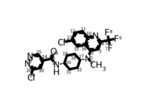 CN(c1cc(C(F)(F)F)nc2ccc(Cl)cc12)[C@H]1CC[C@@H](NC(=O)c2cnnc(Cl)c2)CC1